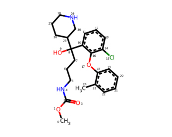 COC(=O)NCCCC(O)(c1cccc(Cl)c1Oc1ccccc1C)C1CCCNC1